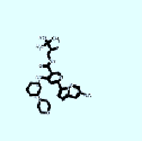 CC(C)(O)C(F)CNC(=O)c1cnc(-c2ccc3cc(C#N)cnn23)cc1N[C@H]1CCC[C@@H](N2CCOCC2)C1